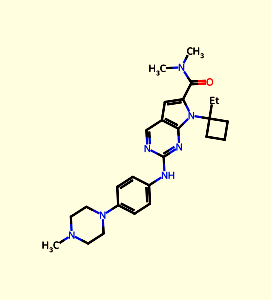 CCC1(n2c(C(=O)N(C)C)cc3cnc(Nc4ccc(N5CCN(C)CC5)cc4)nc32)CCC1